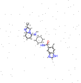 Cc1cc2[nH]cnc2cc1C(=O)N[C@H]1CC[C@@H](N(C)c2cccc3nc(C(F)(F)F)cn23)CC1